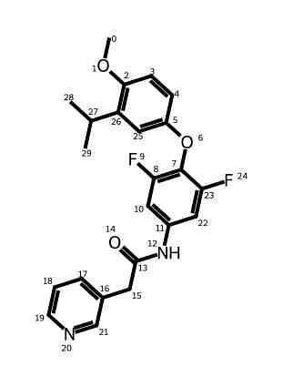 COc1ccc(Oc2c(F)cc(NC(=O)Cc3cccnc3)cc2F)cc1C(C)C